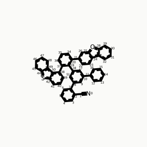 N#Cc1ccccc1-c1cc(-c2ccccc2)cc(-c2c(-c3ccc4c(c3)oc3ccccc34)cccc2-c2cccc3sc4ccccc4c23)c1